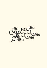 COc1cc(-c2cc(Op3oc4c(C(C)(C)C)cc(C)cc4c4cc(C)cc(C(C)(C)C)c4o3)c(C(C)(C)C)cc2OC)c(O)c(C(C)(C)C)c1